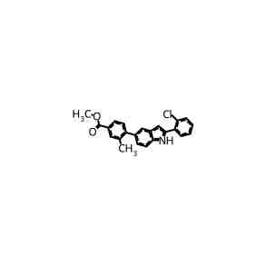 COC(=O)c1ccc(-c2ccc3[nH]c(-c4ccccc4Cl)cc3c2)c(C)c1